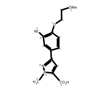 COCCOc1ccc(-c2cc(C(=O)O)n(C)n2)cc1C#N